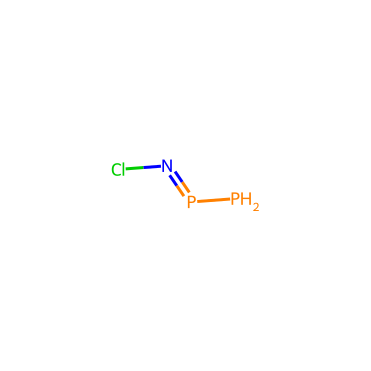 P/P=N/Cl